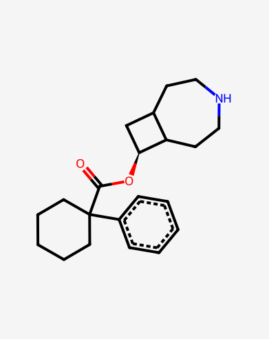 O=C(O[C@H]1CC2CCNCCC21)C1(c2ccccc2)CCCCC1